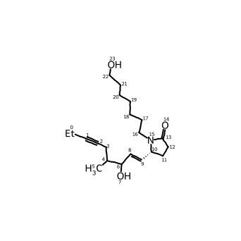 CCC#CCC(C)C(O)/C=C/[C@H]1CCC(=O)N1CCCCCCCO